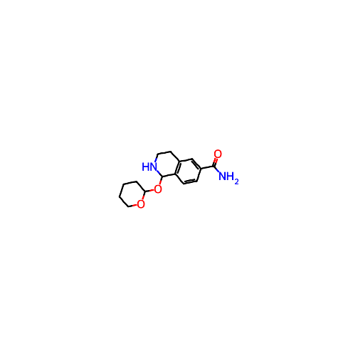 NC(=O)c1ccc2c(c1)CCNC2OC1CCCCO1